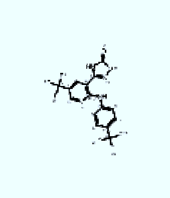 O=c1[nH]c(-c2cc(C(F)(F)F)cnc2Nc2ccc(C(F)(F)F)cc2)no1